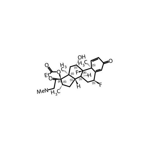 CCC(=O)O[C@]1(C(=O)CNC)[C@@H](C)C[C@H]2[C@@H]3C[C@H](F)C4=CC(=O)C=C[C@]4(C)[C@@]3(F)[C@@H](O)C[C@@]21C